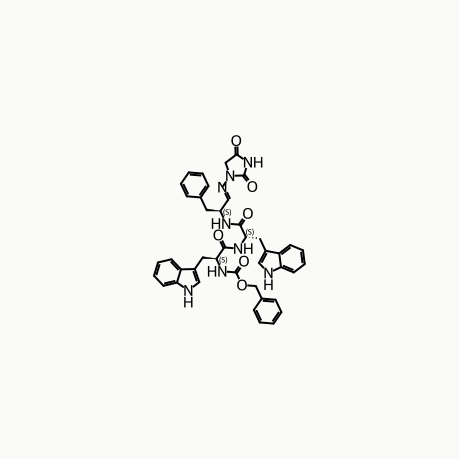 O=C1CN(N=C[C@H](Cc2ccccc2)NC(=O)[C@H](Cc2c[nH]c3ccccc23)NC(=O)[C@H](Cc2c[nH]c3ccccc23)NC(=O)OCc2ccccc2)C(=O)N1